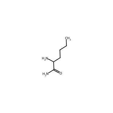 CCCCC(N)C(N)=O